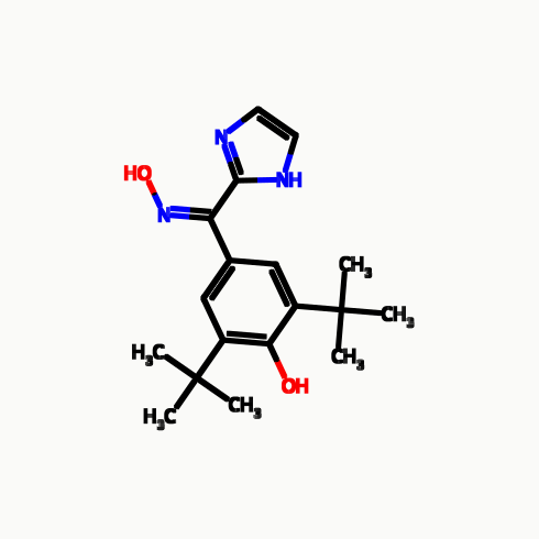 CC(C)(C)c1cc(C(=NO)c2ncc[nH]2)cc(C(C)(C)C)c1O